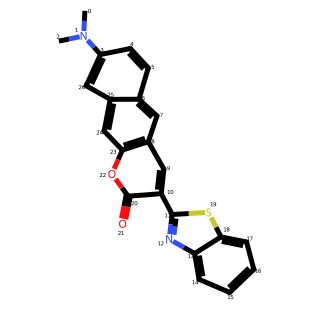 CN(C)c1ccc2cc3cc(-c4nc5ccccc5s4)c(=O)oc3cc2c1